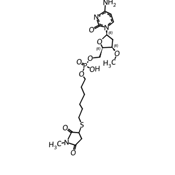 CO[C@@H]1C[C@H](n2ccc(N)nc2=O)O[C@@H]1COP(=O)(O)OCCCCCCSC1CC(=O)N(C)C1=O